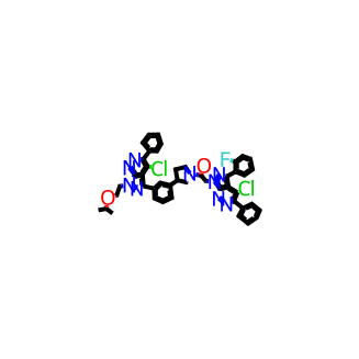 CC(C)OCCn1nc(-c2cccc(C3CCN(C(=O)Cn4nc(-c5ccccc5F)c5c(Cl)c(-c6ccccc6)nnc54)C3)c2)c2c(Cl)c(-c3ccccc3)nnc21